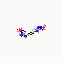 COC(=O)NC(C(=O)N1CCCC1c1ncc(-c2cc3c(C)c4sc(-c5cnc(C6CCCN6C(=O)C(NC(=O)OC)C(C)C)[nH]5)cc4c(C)c3s2)[nH]1)C(C)C